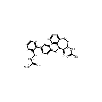 CCC(=O)N[C@@H]1CSc2ccccc2N(Cc2ccc(-c3ccccc3CNC(=O)OC)cc2)C1=O